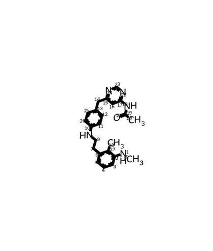 CNc1cccc(CCNc2ccc(Cc3cc(NC(C)=O)ncn3)cc2)c1C